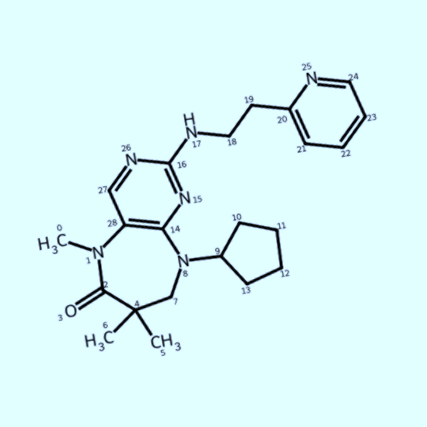 CN1C(=O)C(C)(C)CN(C2CCCC2)c2nc(NCCc3ccccn3)ncc21